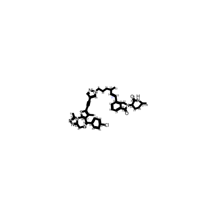 Cc1c(C#Cc2cnn(CCCC(C)/C=C/c3cccc4c3CN(C3CCC(C)NC3=O)C4=O)c2)sc2c1C(c1ccc(Cl)cc1)=NCc1nnc(C)n1-2